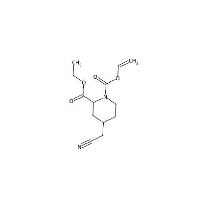 C=COC(=O)N1CCC(CC#N)CC1C(=O)OCC